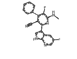 CNc1nc(-c2c[nH]c3ncc(F)cc23)c(C#N)c(-c2ccccc2)c1F